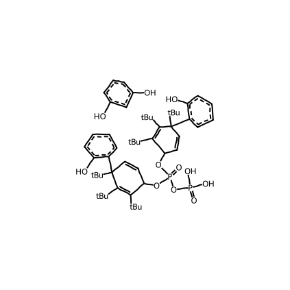 CC(C)(C)C1=C(C(C)(C)C)C(c2ccccc2O)(C(C)(C)C)C=CC1OP(=O)(OC1C=CC(c2ccccc2O)(C(C)(C)C)C(C(C)(C)C)=C1C(C)(C)C)OP(=O)(O)O.Oc1cccc(O)c1